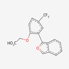 O=C(O)COc1ccc(C(F)(F)F)cc1-c1occ2ccccc12